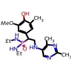 CCNP(=O)(NCC)C(CNc1cnc(C)nc1C)c1cc(C)c(O)c(OC)c1